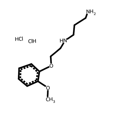 COc1ccccc1OCCNCCCN.Cl.Cl